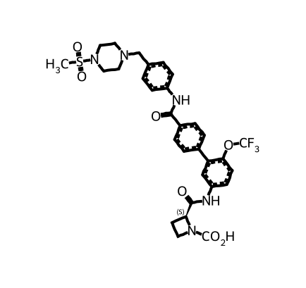 CS(=O)(=O)N1CCN(Cc2ccc(NC(=O)c3ccc(-c4cc(NC(=O)[C@@H]5CCN5C(=O)O)ccc4OC(F)(F)F)cc3)cc2)CC1